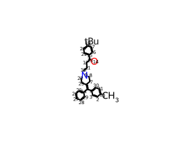 Cc1ccc(C(=C2CCN(CCCC(=O)c3ccc(C(C)(C)C)cc3)CC2)c2ccccc2)cc1